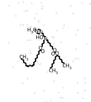 CCCCC/C=C\C/C=C\CCCCCCCC(=O)OCCCCN(CCCCCCOC(=O)OC(CCCCCC)CCCCCCCC)CC(O)CN1CCN(C)CC1